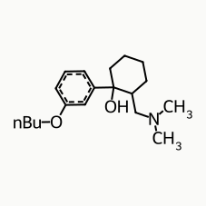 CCCCOc1cccc(C2(O)CCCCC2CN(C)C)c1